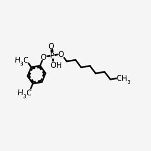 CCCCCCCCOP(=O)(O)Oc1ccc(C)cc1C